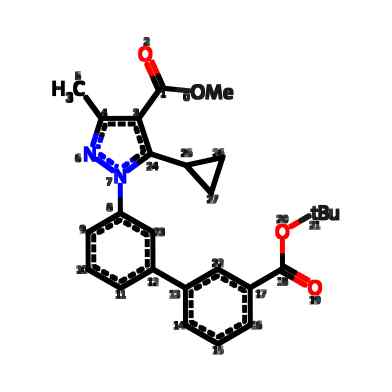 COC(=O)c1c(C)nn(-c2cccc(-c3cccc(C(=O)OC(C)(C)C)c3)c2)c1C1CC1